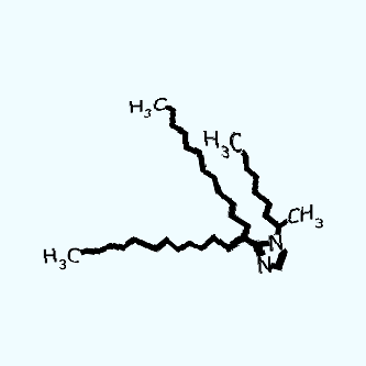 CCCCCCCCCCCCCC(CCCCCCCCCCCC)c1nccn1C(C)CCCCCCC